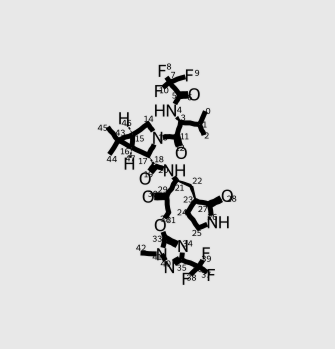 CC(C)[C@H](NC(=O)C(F)(F)F)C(=O)N1C[C@H]2[C@@H]([C@H]1C(=O)N[C@@H](C[C@@H]1CCNC1=O)C(=O)COc1nc(C(F)(F)F)nn1C)C2(C)C